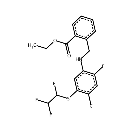 CCOC(=O)c1ccccc1CNc1cc(SC(F)C(F)F)c(Cl)cc1F